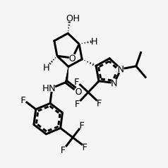 CC(C)n1cc([C@H]2[C@H]3O[C@H](C[C@@H]3O)[C@@H]2C(=O)Nc2cc(C(F)(F)F)ccc2F)c(C(F)(F)F)n1